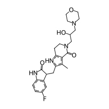 Cc1c(CC2C(=O)Nc3ccc(F)cc32)[nH]c2c1C(=O)N(CC(O)CN1CCOCC1)CC2